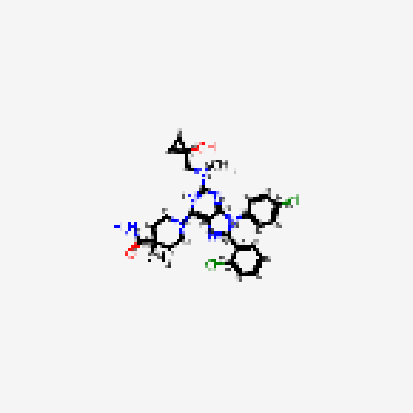 CN(CC1(O)CC1)c1nc(N2CCC(C)(C(N)=O)CC2)c2nc(-c3ccccc3Cl)n(-c3ccc(Cl)cc3)c2n1